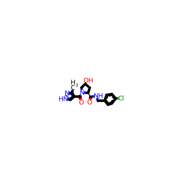 Cc1n[nH]cc1C(=O)N1C[C@H](O)C[C@H]1C(=O)NCc1ccc(Cl)cc1